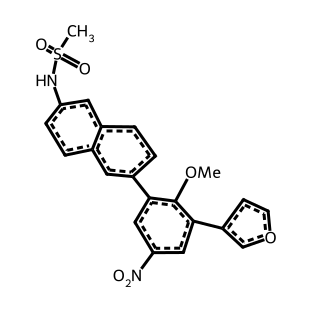 COc1c(-c2ccoc2)cc([N+](=O)[O-])cc1-c1ccc2cc(NS(C)(=O)=O)ccc2c1